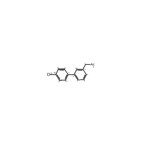 CC(=O)Cc1cccc(-c2ccc(Cl)cc2)c1